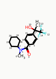 CN(C(=O)c1ccc(C(C)(O)C(F)(F)F)cc1)C1CCCCC1